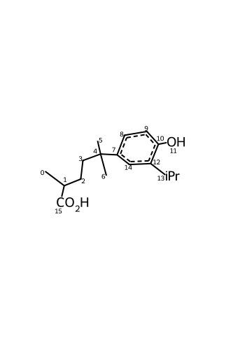 CC(CCC(C)(C)c1ccc(O)c(C(C)C)c1)C(=O)O